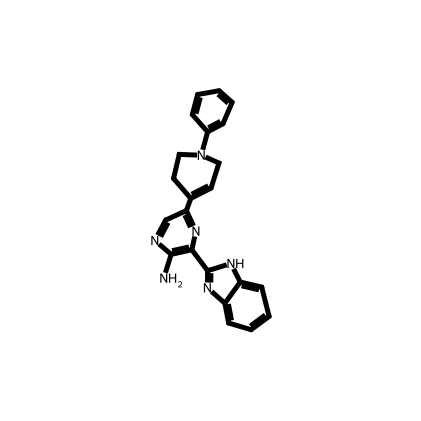 Nc1ncc(C2=CCN(c3ccccc3)CC2)nc1-c1nc2ccccc2[nH]1